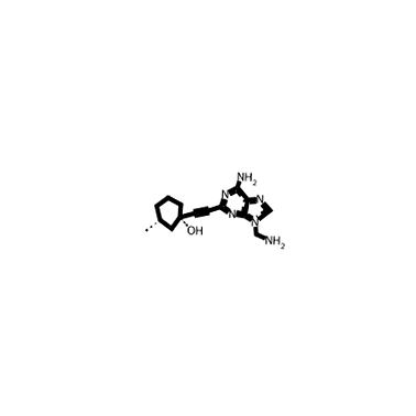 C[C@@H]1CCC[C@@](O)(C#Cc2nc(N)c3ncn(CN)c3n2)C1